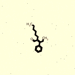 CCCCCCC(C=O)=C(CC)c1ccccc1